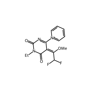 CCN1C(=O)N=C([n+]2ccccc2)/C(=C(\OC)C(F)F)C1=O